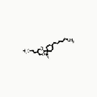 CCCCCCC1CCC(C#N)(C2OCC(CCC)CO2)CC1